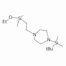 CCO[Si](C)(C)CCN1CCN([Si](C)(C)C(C)(C)C)CC1